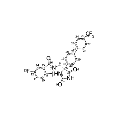 O=C1NC(=O)[C@](CN2Cc3ccc(F)cc3C2=O)(c2ccc(-c3ccc(C(F)(F)F)cc3)cc2)N1